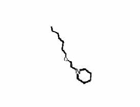 CCCCCCCOCCN1CCCCC1